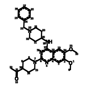 COc1cc2nc(N3CCC(C(C)=O)CC3)nc(NC3CCN(Cc4ccccc4)CC3)c2cc1OC